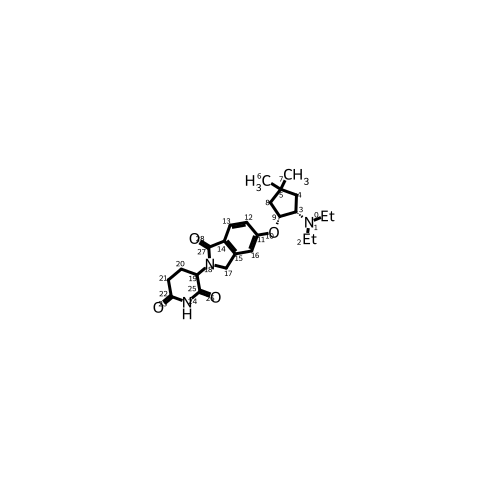 CCN(CC)[C@H]1CC(C)(C)C[C@H]1Oc1ccc2c(c1)CN(C1CCC(=O)NC1=O)C2=O